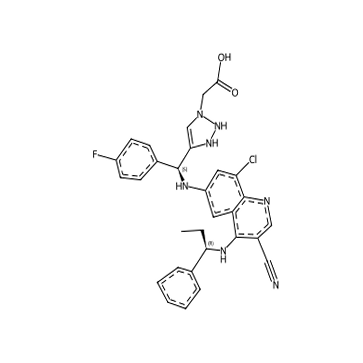 CC[C@@H](Nc1c(C#N)cnc2c(Cl)cc(N[C@H](C3=CN(CC(=O)O)NN3)c3ccc(F)cc3)cc12)c1ccccc1